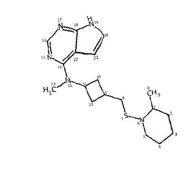 CC1CCCCN1SCC1CC(N(C)c2ncnc3[nH]ccc23)C1